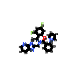 CCCn1c(CN(Cc2ccc(F)cc2F)C(=O)c2ccccc2-n2cccc2)nc2cccnc21